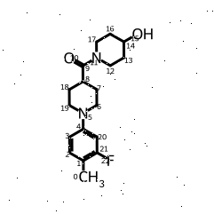 Cc1ccc(N2CCC(C(=O)N3CCC(O)CC3)CC2)cc1F